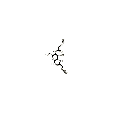 [N-]=[N+]=NCC(=O)N[C@H]1[C@H](O)[C@H](NC(=O)CN=[N+]=[N-])C(O)O[C@@H]1CO